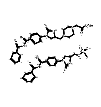 COC(=O)CN1CCN(CC2CN(c3ccc(C(=N)NC(=O)c4ccccc4)cc3)C(=O)O2)CC1.CS(=O)(=O)OCC1CN(c2ccc(C(=N)NC(=O)c3ccccc3)cc2)C(=O)O1